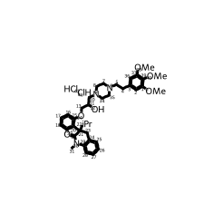 COc1cc(CCN2CCN(CC(O)COc3ccccc3C3(C(C)C)Cc4ccccc4N(C)C3=O)CC2)cc(OC)c1OC.Cl.Cl